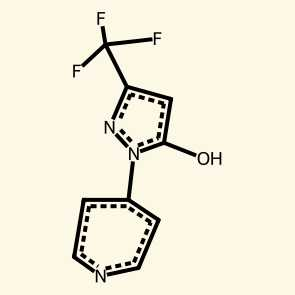 Oc1cc(C(F)(F)F)nn1-c1ccncc1